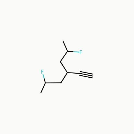 C#CC(CC(C)F)CC(C)F